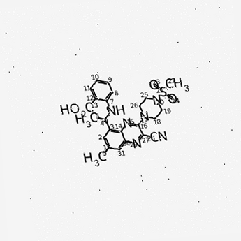 Cc1cc([C@@H](C)Nc2ccccc2C(=O)O)c2nc(N3CCN(S(C)(=O)=O)CC3)c(C#N)nc2c1